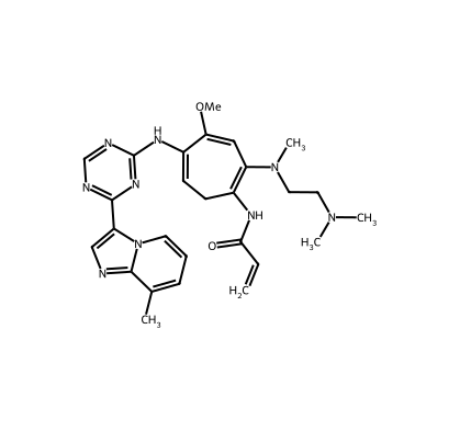 C=CC(=O)NC1=C(N(C)CCN(C)C)C=C(OC)C(Nc2ncnc(-c3cnc4c(C)cccn34)n2)=CC1